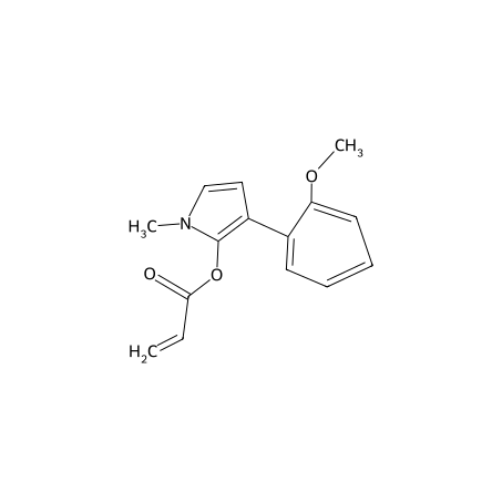 C=CC(=O)Oc1c(-c2ccccc2OC)ccn1C